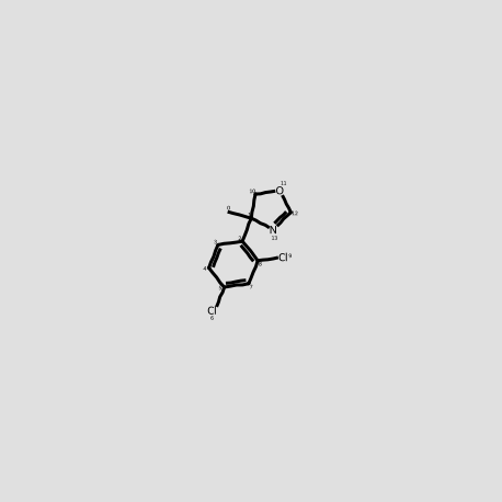 CC1(c2ccc(Cl)cc2Cl)COC=N1